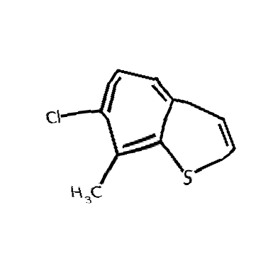 Cc1c(Cl)ccc2ccsc12